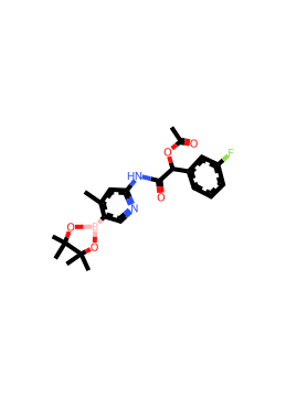 CC(=O)OC(C(=O)Nc1cc(C)c(B2OC(C)(C)C(C)(C)O2)cn1)c1cccc(F)c1